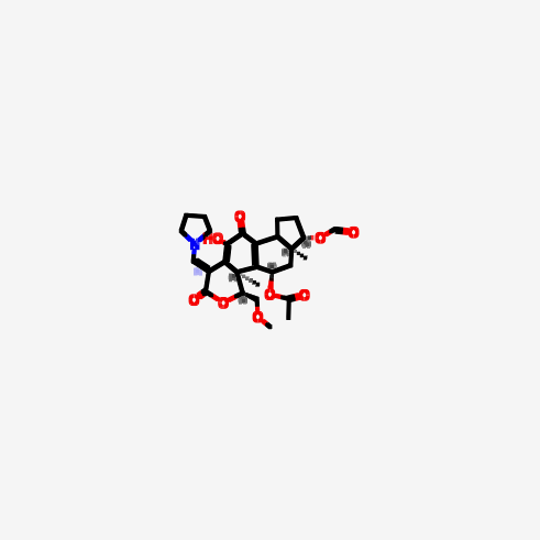 COC[C@H]1OC(=O)/C(=C/N2CCCC2)C2=C(O)C(=O)C3=C([C@H](OC(C)=O)C[C@@]4(C)C3CC[C@@H]4OC=O)[C@]21C